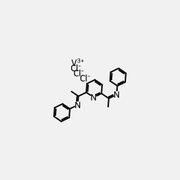 CC(=Nc1ccccc1)c1cccc(C(C)=Nc2ccccc2)n1.[Cl-].[Cl-].[Cl-].[V+3]